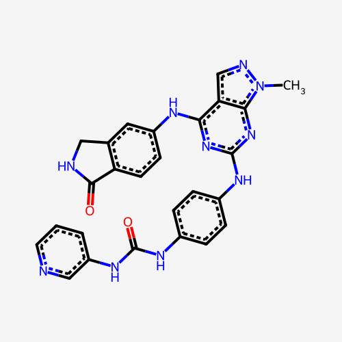 Cn1ncc2c(Nc3ccc4c(c3)CNC4=O)nc(Nc3ccc(NC(=O)Nc4cccnc4)cc3)nc21